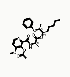 CCCCC[C@@H](OC(=O)[C@H](C)NC(=O)c1nccc(OC)c1OC(C)=O)[C@H](C)Oc1ccccc1